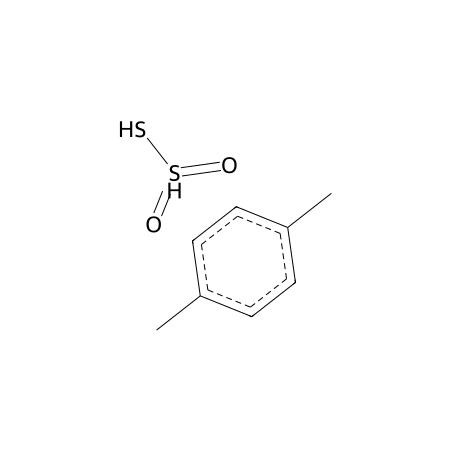 Cc1ccc(C)cc1.O=[SH](=O)S